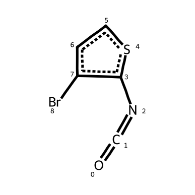 O=C=Nc1sccc1Br